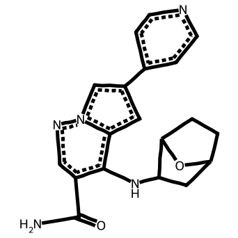 NC(=O)c1cnn2cc(-c3ccncc3)cc2c1NC1CC2CCC1O2